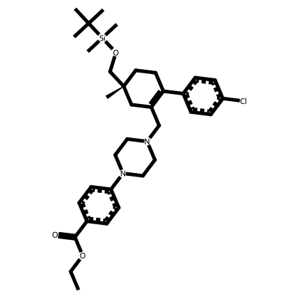 CCOC(=O)c1ccc(N2CCN(CC3=C(c4ccc(Cl)cc4)CC[C@@](C)(CO[Si](C)(C)C(C)(C)C)C3)CC2)cc1